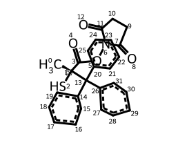 C[C@@](S)(C(=O)ON1C(=O)CCC1=O)C(c1ccccc1)(c1ccccc1)c1ccccc1